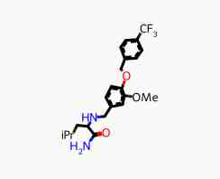 COc1cc(CNC(CC(C)C)C(N)=O)ccc1OCc1ccc(C(F)(F)F)cc1